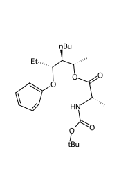 CCCC[C@@H]([C@H](C)OC(=O)[C@H](C)NC(=O)OC(C)(C)C)[C@@H](CC)Oc1ccccc1